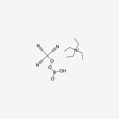 CC[N+](CC)(CC)CC.N#CC(C#N)(C#N)OOB([O-])O